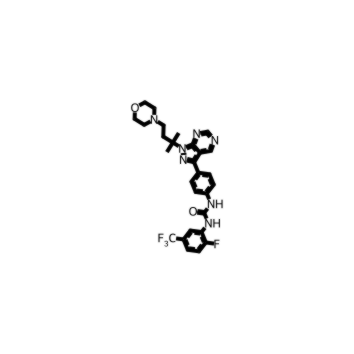 CC(C)(CCN1CCOCC1)n1nc(-c2ccc(NC(=O)Nc3cc(C(F)(F)F)ccc3F)cc2)c2cncnc21